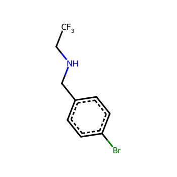 FC(F)(F)CNCc1ccc(Br)cc1